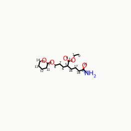 CCOC(=O)C(CCCOC1CCCCO1)CCCC(N)=O